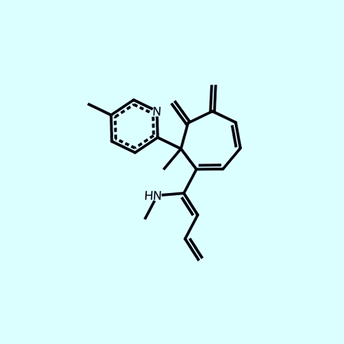 C=C/C=C(\NC)C1=CC=CC(=C)C(=C)C1(C)c1ccc(C)cn1